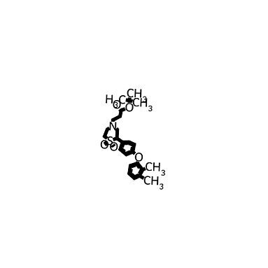 Cc1cccc(Oc2ccc(C3CN(CCC(=O)OC(C)(C)C)CCS3(=O)=O)cc2)c1C